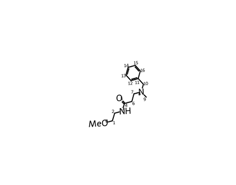 COCCNC(=O)CCN(C)Cc1ccccc1